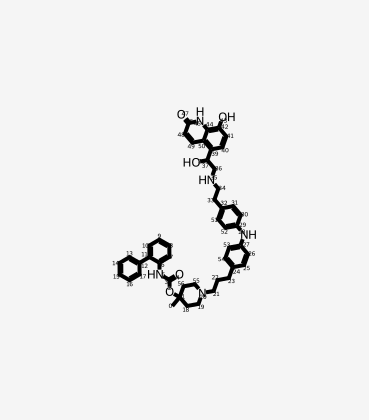 CC1(OC(=O)Nc2ccccc2-c2ccccc2)CCN(CCCc2ccc(Nc3ccc(CCNCC(O)c4ccc(O)c5[nH]c(=O)ccc45)cc3)cc2)CC1